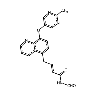 O=CNC(=O)C=CCc1ccc(Oc2cnc(C(F)(F)F)nc2)c2ncccc12